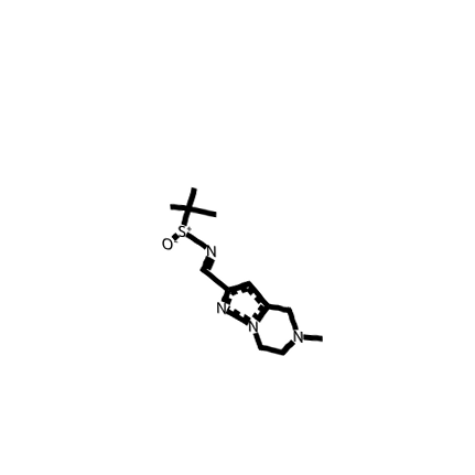 CN1CCn2nc(/C=N/[S+]([O-])C(C)(C)C)cc2C1